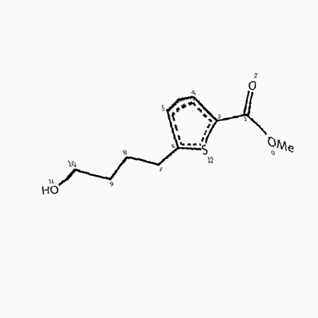 COC(=O)c1[c]cc(CCCCO)s1